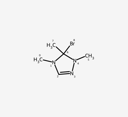 CN1C=NN(C)C1(C)Br